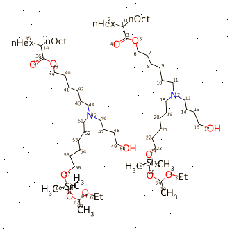 CCCCCCCCC(CCCCCC)C(=O)OCCCCCCN(CCCCO)CCCCCCO[Si](C)(C)OC(C)OCC.CCCCCCCCC(CCCCCC)C(=O)OCCCCCCN(CCCCO)CCCCCCO[Si](C)(C)OC(C)OCC